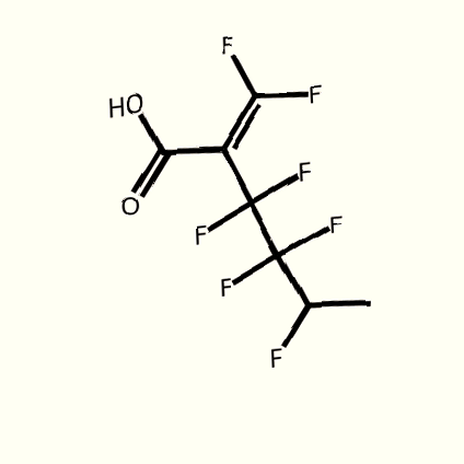 CC(F)C(F)(F)C(F)(F)C(C(=O)O)=C(F)F